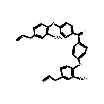 C=CCc1ccc(Oc2ccc(C(=O)c3ccc(Oc4ccc(CC=C)cc4OC)cc3)cc2)c(OC)c1